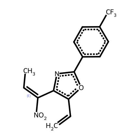 C=Cc1oc(-c2ccc(C(F)(F)F)cc2)nc1/C(=C\C)[N+](=O)[O-]